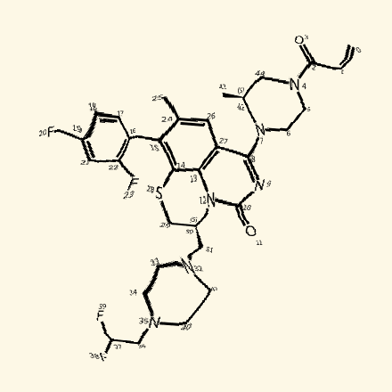 C=CC(=O)N1CCN(c2nc(=O)n3c4c(c(-c5ccc(F)cc5F)c(C)cc24)SC[C@@H]3CN2CCN(CC(F)F)CC2)[C@@H](C)C1